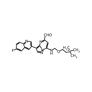 C[Si](C)(C)CCOCNc1cc(C=O)nc2c(-c3cnc4ccc(F)cc4c3)cnn12